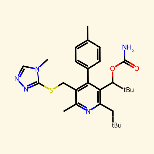 Cc1ccc(-c2c(CSc3nncn3C)c(C)nc(CC(C)(C)C)c2C(OC(N)=O)C(C)(C)C)cc1